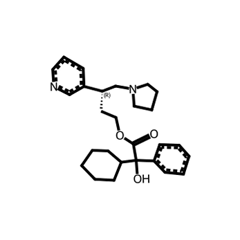 O=C(OCC[C@@H](CN1CCCC1)c1cccnc1)C(O)(c1ccccc1)C1CCCCC1